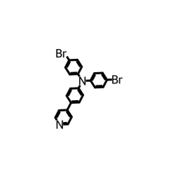 Brc1ccc(N(c2ccc(Br)cc2)c2ccc(-c3ccncc3)cc2)cc1